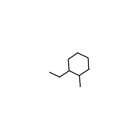 CCC1CCC[CH]C1C